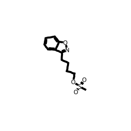 CS(=O)(=O)OCCCCc1noc2ccccc12